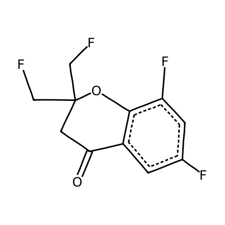 O=C1CC(CF)(CF)Oc2c(F)cc(F)cc21